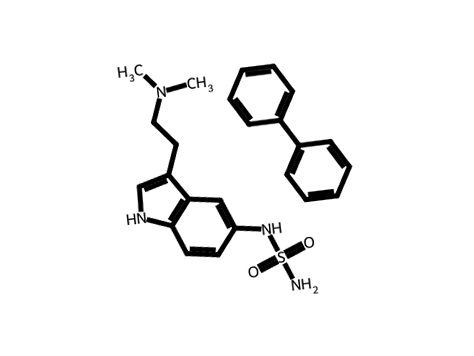 CN(C)CCc1c[nH]c2ccc(NS(N)(=O)=O)cc12.c1ccc(-c2ccccc2)cc1